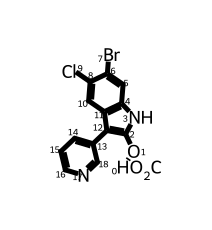 O=C(O)Oc1[nH]c2cc(Br)c(Cl)cc2c1-c1cccnc1